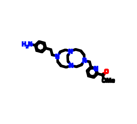 COC(=O)c1cccc(CN2CCCN3CCN(CCc4ccc(N)cc4)CCCN(CC3)CC2)n1